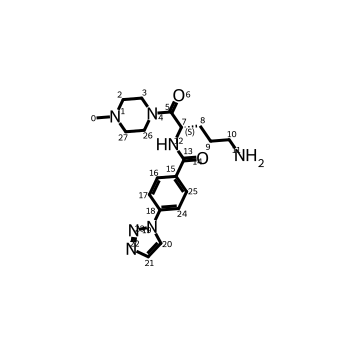 CN1CCN(C(=O)[C@H](CCCN)NC(=O)c2ccc(-n3ccnn3)cc2)CC1